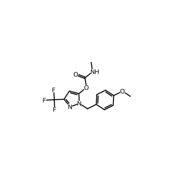 CNC(=O)Oc1cc(C(F)(F)F)nn1Cc1ccc(OC)cc1